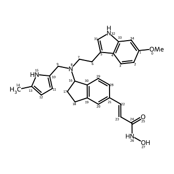 COc1ccc2c(CCN(Cc3ccc(C)[nH]3)C3CCc4cc(/C=C/C(=O)NO)ccc43)c[nH]c2c1